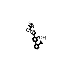 O=C(c1cscn1)N1CCC(c2ccc(-c3ccccc3C3CC3)cc2CO)C1